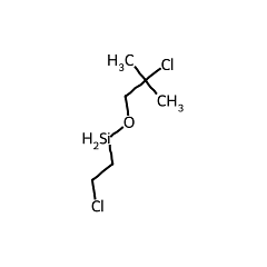 CC(C)(Cl)CO[SiH2]CCCl